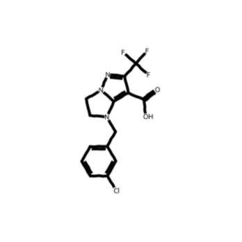 O=C(O)c1c(C(F)(F)F)nn2c1N(Cc1cccc(Cl)c1)CC2